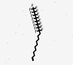 C=CCCCCCCCCCC(F)(F)C(F)(F)C(F)(F)C(F)(F)C(F)(F)C(F)(F)C(F)(F)C(F)(F)F